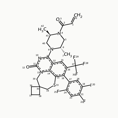 C=CC(=O)N1C[C@H](C)N(c2nc(=O)n3c4c(c(-c5cc(I)c(F)cc5F)c(C(F)(F)F)cc24)SCC2(CCC2)C3)C[C@H]1C